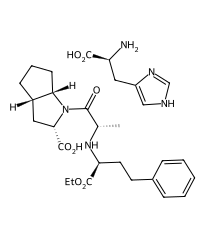 CCOC(=O)[C@H](CCc1ccccc1)N[C@@H](C)C(=O)N1[C@H](C(=O)O)C[C@@H]2CCC[C@@H]21.N[C@@H](Cc1c[nH]cn1)C(=O)O